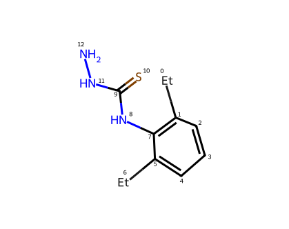 CCc1cccc(CC)c1NC(=S)NN